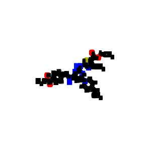 CCOC(=O)c1sc(Nc2nc(NCc3ccc(S(C)(=O)=O)cc3)cc(N3CCC(CC)CC3)n2)nc1C